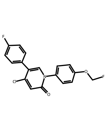 O=c1cc(Cl)c(-c2ccc(F)cc2)cn1-c1ccc(OCF)cc1